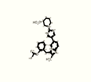 Cc1nc2ccc(-c3cnc(N4CCC[C@@H](C(=O)O)C4)nc3)cn2c1Cc1ccccc1OC(F)F